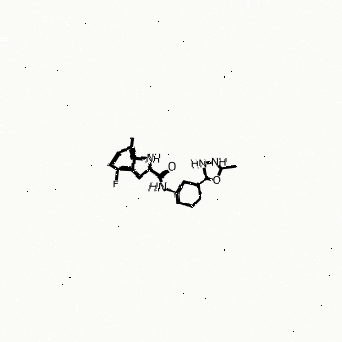 Cc1ccc(F)c2c1NC(C(=O)N[C@@H]1CCC[C@H](C3NNC(C)O3)C1)C2